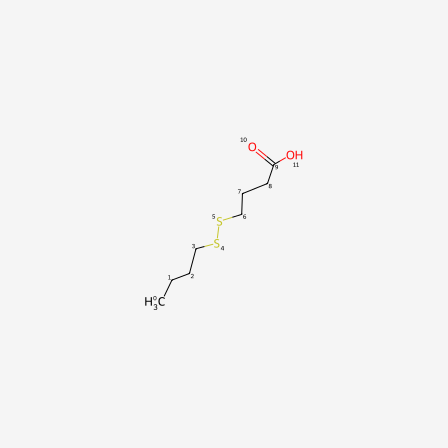 CCCCSSCCCC(=O)O